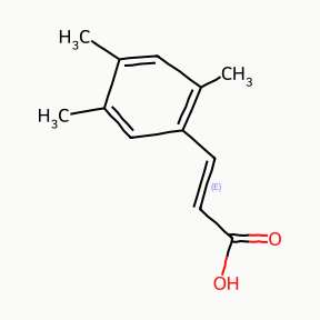 Cc1cc(C)c(/C=C/C(=O)O)cc1C